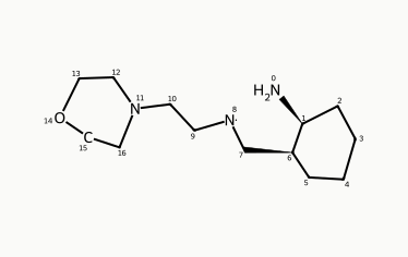 N[C@H]1CCCC[C@H]1C[N]CCN1CCOCC1